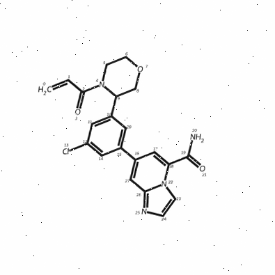 C=CC(=O)N1CCOCC1c1cc(Cl)cc(-c2cc(C(N)=O)n3ccnc3c2)c1